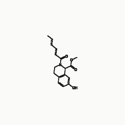 CC=CC=CC(=O)N1CCc2ccc(O)cc2C1C(=O)OC